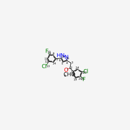 O=COC(Cc1cc(-c2cc(F)cc(Cl)c2)[nH]n1)c1ccc(F)c(Cl)c1